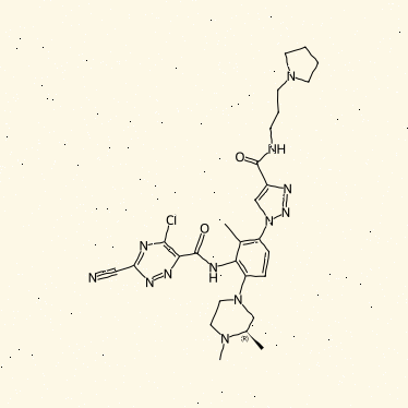 Cc1c(-n2cc(C(=O)NCCCN3CCCC3)nn2)ccc(N2CCN(C)[C@H](C)C2)c1NC(=O)c1nnc(C#N)nc1Cl